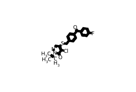 CC(C)(C)n1ncc(SCc2ccc(C(=O)c3ccc(F)cc3)cc2)c(Cl)c1=O